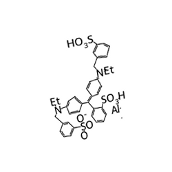 CCN(Cc1cccc(S(=O)(=O)[O-])c1)c1ccc(C(=C2C=CC(=[N+](CC)Cc3cccc(S(=O)(=O)O)c3)C=C2)c2ccccc2S(=O)(=O)O)cc1.[Al]